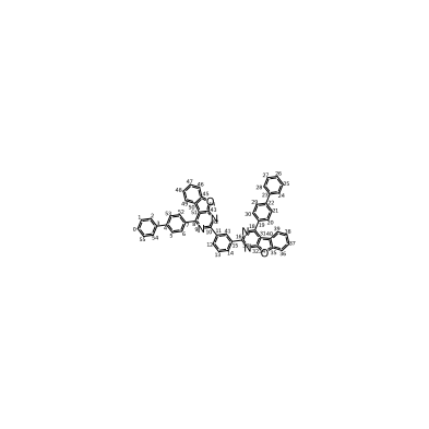 c1ccc(-c2ccc(-c3nc(-c4cccc(-c5nc(-c6ccc(-c7ccccc7)cc6)c6c(n5)oc5ccccc56)c4)nc4oc5ccccc5c34)cc2)cc1